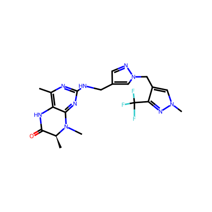 Cc1nc(NCc2cnn(Cc3cn(C)nc3C(F)(F)F)c2)nc2c1NC(=O)[C@H](C)N2C